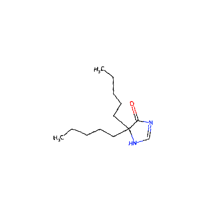 CCCCCC1(CCCCC)NC=NC1=O